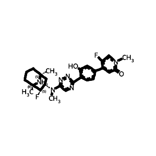 CN(c1cnc(-c2ccc(-c3cc(=O)n(C)cc3F)cc2O)nn1)[C@H]1C[C@]2(C)CCC[C@@](C)(N2)[C@H]1F